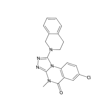 Cn1c(=O)c2cc(Cl)ccc2n2c(N3CCc4ccccc4C3)nnc12